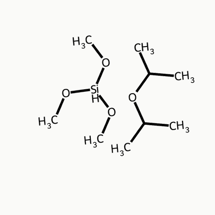 CC(C)OC(C)C.CO[SiH](OC)OC